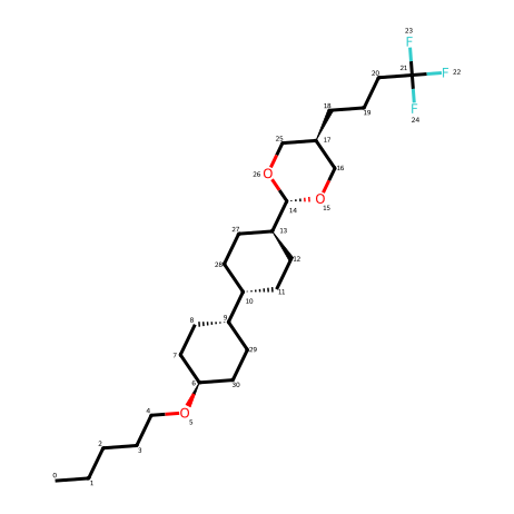 CCCCCO[C@H]1CC[C@H]([C@H]2CC[C@H]([C@H]3OC[C@H](CCCC(F)(F)F)CO3)CC2)CC1